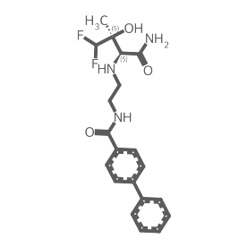 C[C@@](O)(C(F)F)[C@H](NCCNC(=O)c1ccc(-c2ccccc2)cc1)C(N)=O